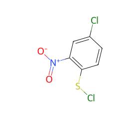 O=[N+]([O-])c1cc(Cl)ccc1SCl